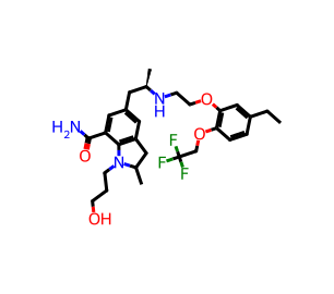 CCc1ccc(OCC(F)(F)F)c(OCCN[C@H](C)Cc2cc3c(c(C(N)=O)c2)N(CCCO)C(C)C3)c1